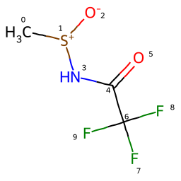 C[S+]([O-])NC(=O)C(F)(F)F